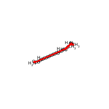 Cc1ccc2c(c1)nc(N)c1ncc(CCc3ccc(OCc4ccc(C(=O)NCCCOCCOCCOCCCNC(=O)CCOCCOCCOCCOCCOCCOCCOCCOCCOCCOCCOCCOCCNC(=O)CCCOc5ccc(C=O)c(N)c5)cc4)cc3C)cc12